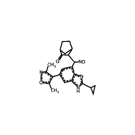 Cc1noc(C)c1-c1cc(C(N=O)C2C(=O)C3CCC2C3)c2nc(C3CC3)[nH]c2c1